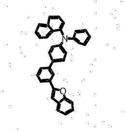 c1ccc(N(c2ccc(-c3cccc(-c4cc5ccccc5o4)c3)cc2)c2cccc3ccccc23)cc1